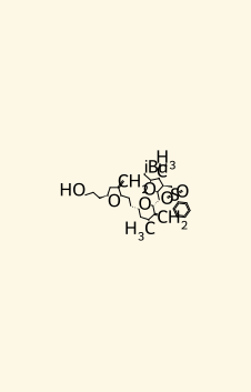 C=C1C[C@H](CCCO)OC1CC[C@H]1C[C@@H](C)C(=C)[C@@H](CC2OC(C[C@H](C)CC)[C@H](C)[C@H]2CS(=O)(=O)c2ccccc2)O1